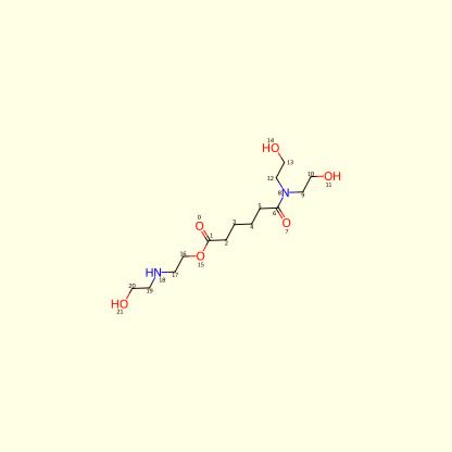 O=C(CCCCC(=O)N(CCO)CCO)OCCNCCO